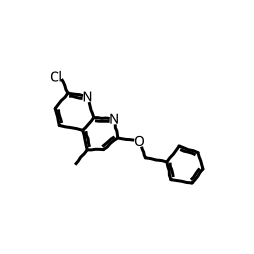 Cc1cc(OCc2ccccc2)nc2nc(Cl)ccc12